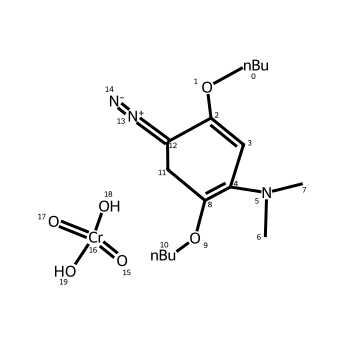 CCCCOC1=CC(N(C)C)=C(OCCCC)CC1=[N+]=[N-].[O]=[Cr](=[O])([OH])[OH]